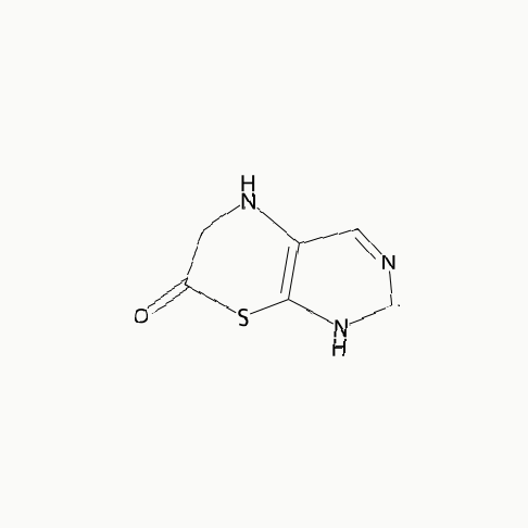 O=C1CNC2=C(N[CH]N=C2)S1